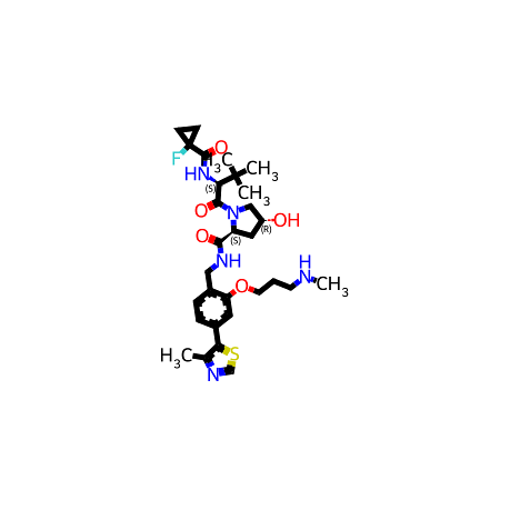 CNCCCOc1cc(-c2scnc2C)ccc1CNC(=O)[C@@H]1C[C@@H](O)CN1C(=O)[C@@H](NC(=O)C1(F)CC1)C(C)(C)C